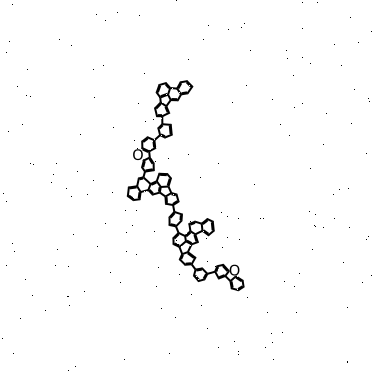 c1cc(-c2ccc3c(c2)-c2cc4c5ccccc5ccc4c4c(-c5ccc(-c6ccc7c(c6)-c6cc8c9ccccc9cc(-c9ccc%10c(c9)oc9ccc(-c%11cccc(-c%12ccc%13c(c%12)-c%12cc%14ccccc%14c%14cccc-%13c%12%14)c%11)cc9%10)c8c8cccc-7c68)cc5)ccc-3c24)cc(-c2ccc3oc4ccccc4c3c2)c1